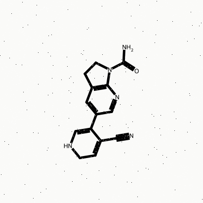 N#CC1=CCNC=C1c1cnc2c(c1)CCN2C(N)=O